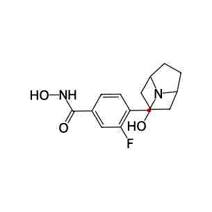 O=C(NO)c1ccc(CN2C3CCC2CC(O)C3)c(F)c1